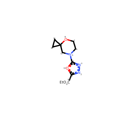 CCOC(=O)c1nnc(N2CCOC3(CC3)C2)o1